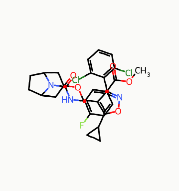 COC(=O)c1ccc(F)c(NC(=O)N2C3CCC2CC(OCc2c(-c4c(Cl)cccc4Cl)noc2C2CC2)C3)c1